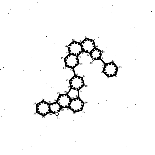 c1ccc(-c2nc3ccc4ccc5ccc(-c6ccc7c(c6)-c6cc8c9ccccc9oc8c8cccc-7c68)cc5c4c3s2)cc1